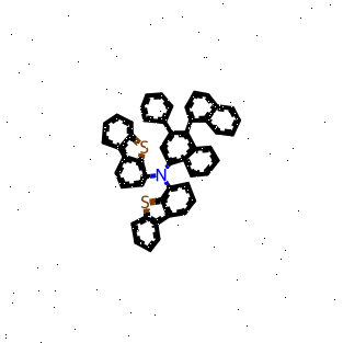 c1ccc(-c2cc(N(c3cccc4c3sc3ccccc34)c3cccc4c3sc3ccccc34)c3ccccc3c2-c2cccc3ccccc23)cc1